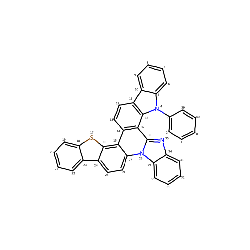 c1ccc(-n2c3ccccc3c3ccc4c5c6sc7ccccc7c6ccc5n5c6ccccc6nc5c4c32)cc1